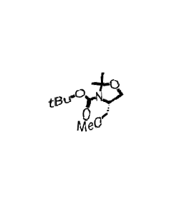 COC[C@H]1COC(C)(C)N1C(=O)OC(C)(C)C